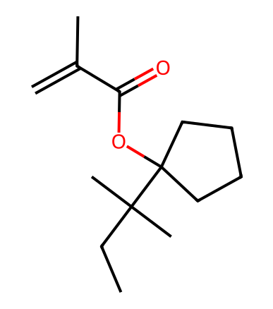 C=C(C)C(=O)OC1(C(C)(C)CC)CCCC1